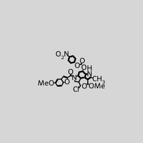 COC(=O)c1c(C)[nH]c2c(OC(=O)Oc3ccc([N+](=O)[O-])cc3)cc3c(c12)C(CCl)CN3C(=O)C1=CC2C=C(OC)C=CC2O1